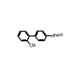 CCCCCc1ccc(-c2ccccc2C#N)cc1